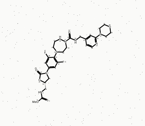 COC(=S)NC[C@H]1CN(c2cc(F)c(N3CCNN(C(=O)NCc4ccnc(N5CCOCC5)c4)CC3)c(F)c2)C(=O)O1